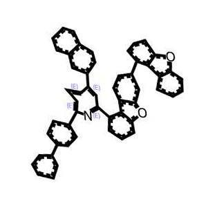 C1=C/C(c2ccc3ccccc3c2)=C\C(c2cccc3oc4cc(-c5cccc6oc7ccccc7c56)ccc4c23)=N/C(c2ccc(-c3ccccc3)cc2)=C/1